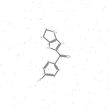 O=C(c1ccc(F)cc1)c1cc2c(s1)CCS2